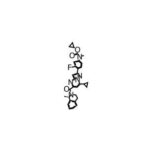 C[C@@H]1c2ccccc2CCN1C(=O)c1cc(C2CC2)n2nc(-c3ccc(N(C)C(=O)OC4CC4)cc3F)cc2n1